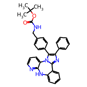 CC(C)(C)OC(=O)NCc1ccc(-c2c(-c3ccccc3)nc3n2-c2cccnc2Nc2ccccc2-3)cc1